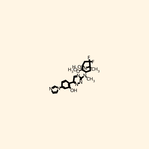 CO[C@@H]1[C@@H](N(C)c2ncc(-c3ccc(-n4ccnc4)cc3O)nn2)C[C@@]2(C)N[C@]1(C)CC2(F)F